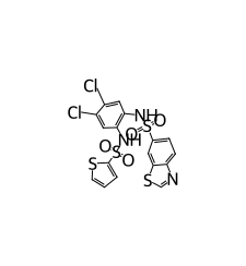 O=S(=O)(Nc1cc(Cl)c(Cl)cc1NS(=O)(=O)c1cccs1)c1ccc2ncsc2c1